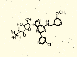 [2H]C([2H])([2H])NC(=O)[C@H]1O[C@@H](n2cnc3c(NCc4cccc(OC)c4)nc(-c4cncc(Cl)c4)nc32)[C@H](O)[C@@H]1O